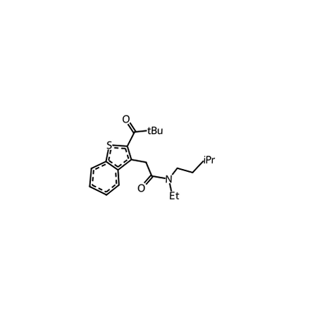 CCN(CCC(C)C)C(=O)Cc1c(C(=O)C(C)(C)C)sc2ccccc12